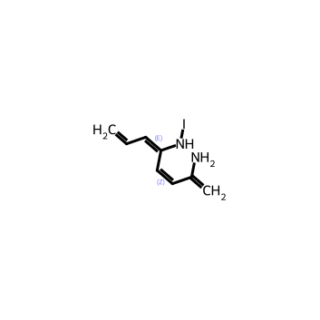 C=C/C=C(\C=C/C(=C)N)NI